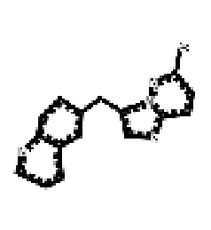 CC(=O)c1ccc2ncc(Cc3ccc4ncccc4c3)n2n1